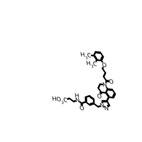 Cc1cccc(OCCCC(=O)N2CCC(=O)c3c(-c4cnn(Cc5cccc(C(=O)NCCC(=O)O)c5)c4)cccc32)c1C